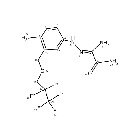 Cc1ccc(NN=C(N)C(N)=O)cc1COCC(F)(F)C(F)(F)F